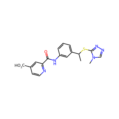 CC(Sc1nncn1C)c1cccc(NC(=O)c2cc(C(=O)O)ccn2)c1